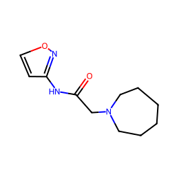 O=C(CN1CCCCCC1)Nc1ccon1